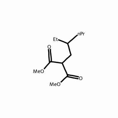 CCCC(CC)CC(C(=O)OC)C(=O)OC